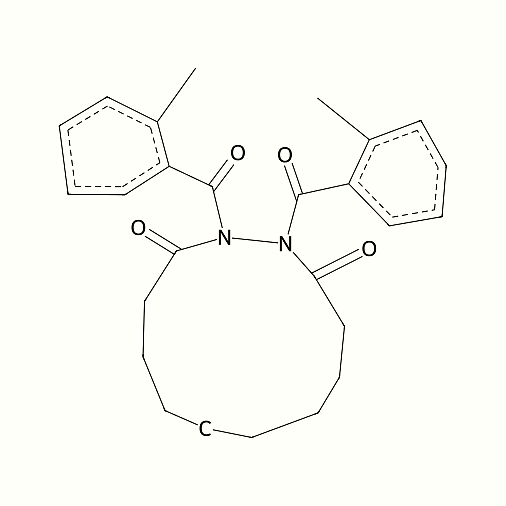 Cc1ccccc1C(=O)N1C(=O)CCCCCCCCC(=O)N1C(=O)c1ccccc1C